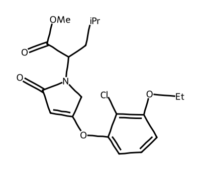 CCOc1cccc(OC2=CC(=O)N(C(CC(C)C)C(=O)OC)C2)c1Cl